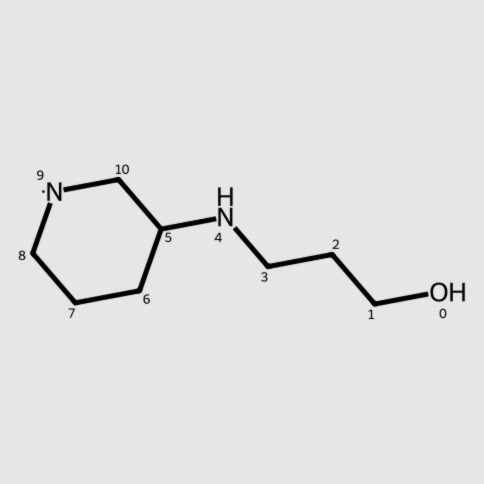 OCCCNC1CCC[N]C1